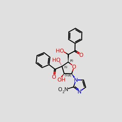 O=C(c1ccccc1)C(O)[C@H]1O[C@@H](n2ccnc2[N+](=O)[O-])[C@@H](O)[C@@]1(O)C(=O)c1ccccc1